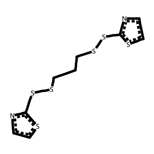 c1csc(SSCCCSSc2nccs2)n1